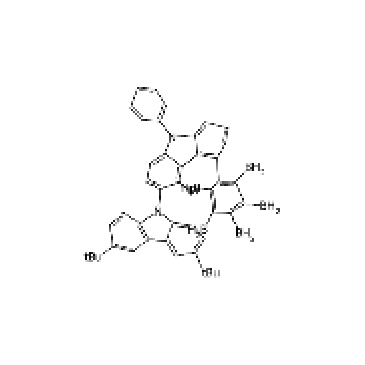 Bc1c(B)c(B)c(-c2cccc3c2c2c(C(C)C)c(-n4c5ccc(C(C)(C)C)cc5c5cc(C(C)(C)C)ccc54)ccc2n3-c2ccccc2)c(B)c1B